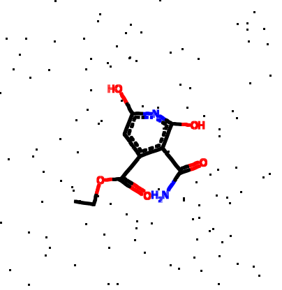 CCOC(=O)c1cc(O)nc(O)c1C(N)=O